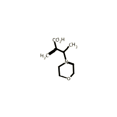 C=C(C(=O)O)C(C)N1CCOCC1